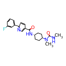 CNC(=O)N(C)[C@H]1CC[C@H](NC(=O)c2ccc(-c3cccc(F)c3)nc2)CC1